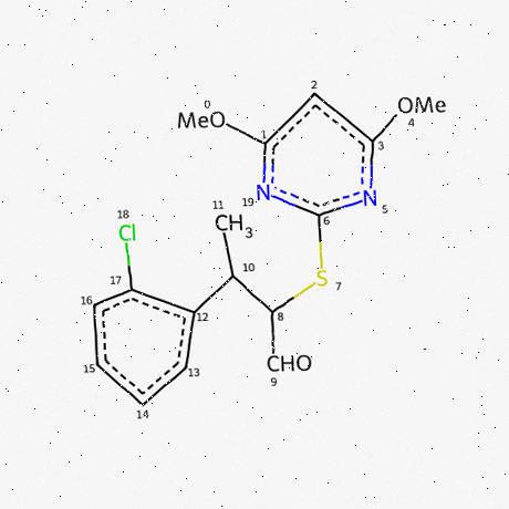 COc1cc(OC)nc(SC(C=O)C(C)c2ccccc2Cl)n1